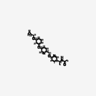 CC(=O)NC(C)c1ccc(OCc2ccc(Oc3cccc(OCC4CC4)c3)cn2)nc1